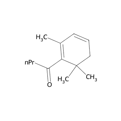 CCCC(=O)C1=C(C)C=CCC1(C)C